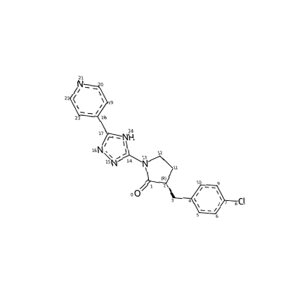 O=C1[C@H](Cc2ccc(Cl)cc2)CCN1c1nnc(-c2ccncc2)[nH]1